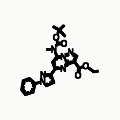 CCOC(=O)c1cnn2c(N(C)C(=O)OC(C)(C)C)cc(-c3ccn(-c4ccccc4)n3)nc12